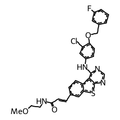 COCCNC(=O)/C=C/c1ccc2c(c1)sc1ncnc(Nc3ccc(OCc4cccc(F)c4)c(Cl)c3)c12